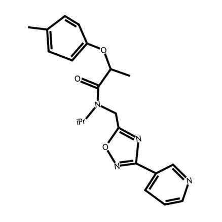 Cc1ccc(OC(C)C(=O)N(Cc2nc(-c3cccnc3)no2)C(C)C)cc1